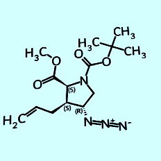 C=CC[C@@H]1[C@@H](N=[N+]=[N-])CN(C(=O)OC(C)(C)C)[C@@H]1C(=O)OC